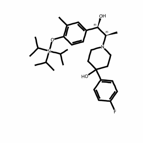 Cc1cc([C@@H](O)[C@@H](C)N2CCC(O)(c3ccc(F)cc3)CC2)ccc1O[Si](C(C)C)(C(C)C)C(C)C